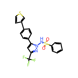 O=S(=O)(Nn1nc(C(F)(F)F)cc1-c1ccc(-c2ccsc2)cc1)c1ccccc1